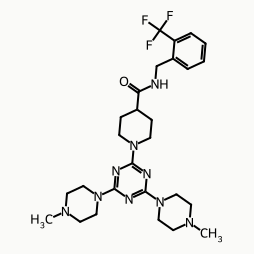 CN1CCN(c2nc(N3CCC(C(=O)NCc4ccccc4C(F)(F)F)CC3)nc(N3CCN(C)CC3)n2)CC1